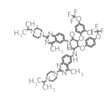 Cc1nc(N2CCN(C(C)C)CC2)nc2ccc(NC(=O)C(Oc3ccc(OC(F)(F)F)cc3)C(Oc3ccc(OC(F)(F)F)cc3Cl)C(=O)Nc3ccc4nc(N5CCN(C(C)C)CC5)nc(C)c4c3)cc12